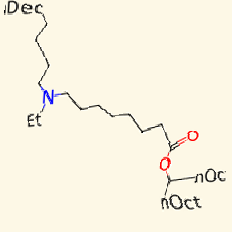 CCCCCCCCCCCCCCN(CC)CCCCCCCC(=O)OC(CCCCCCCC)CCCCCCCC